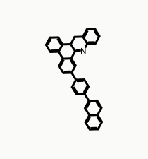 c1ccc2c(c1)CC1C(=N2)c2cc(-c3ccc(-c4ccc5ccccc5c4)cc3)ccc2-c2ccccc21